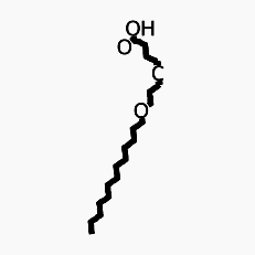 CCCCCCCCCCCCCOCCC=C=CCCC(=O)O